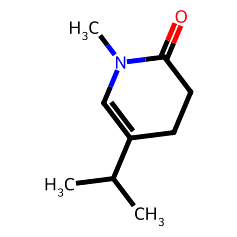 CC(C)C1=CN(C)C(=O)CC1